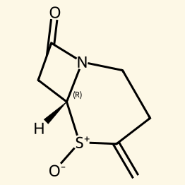 C=C1CCN2C(=O)C[C@H]2[S+]1[O-]